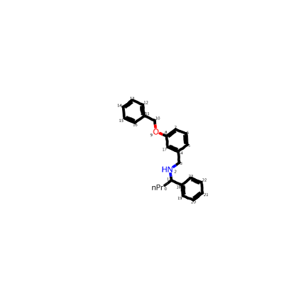 CCCC(NCc1cccc(OCc2ccccc2)c1)c1ccccc1